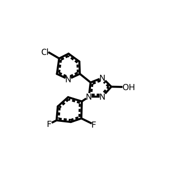 Oc1nc(-c2ccc(Cl)cn2)n(-c2ccc(F)cc2F)n1